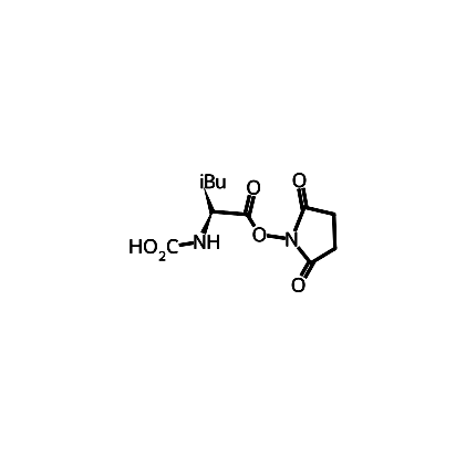 CC[C@H](C)[C@H](NC(=O)O)C(=O)ON1C(=O)CCC1=O